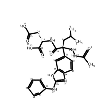 CC(=O)NN[C@@](CC(C)C)(C(=O)N[C@@H](CC(=O)O)C(=O)O)c1ccc2nc(Nc3ccccc3)oc2c1